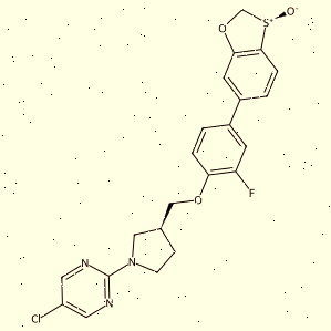 [O-][S@+]1COc2cc(-c3ccc(OC[C@H]4CCN(c5ncc(Cl)cn5)C4)c(F)c3)ccc21